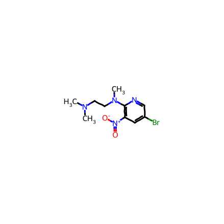 CN(C)CCN(C)c1ncc(Br)cc1[N+](=O)[O-]